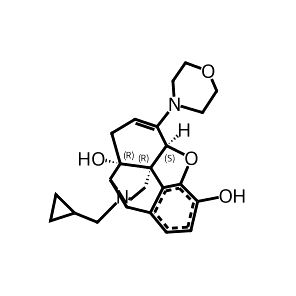 Oc1ccc2c3c1O[C@@H]1C(N4CCOCC4)=CC[C@]4(O)C(C2)N(CC2CC2)CC[C@@]314